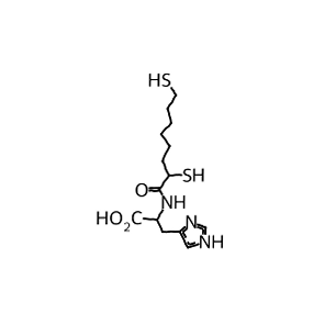 O=C(NC(Cc1c[nH]cn1)C(=O)O)C(S)CCCCCCS